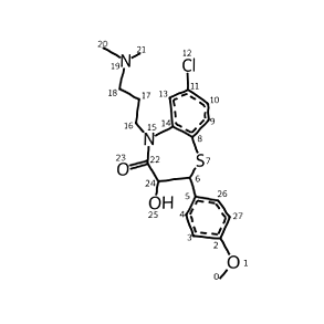 COc1ccc(C2Sc3ccc(Cl)cc3N(CCCN(C)C)C(=O)C2O)cc1